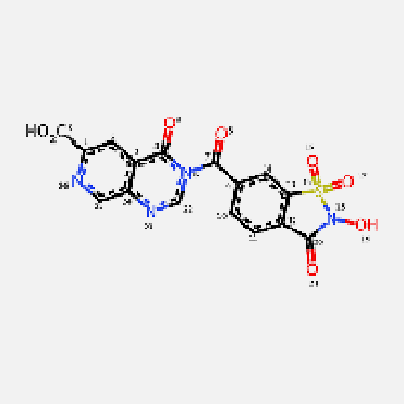 O=C(O)c1cc2c(=O)n(C(=O)c3ccc4c(c3)S(=O)(=O)N(O)C4=O)cnc2cn1